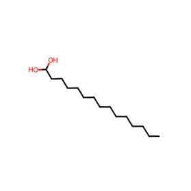 CCCCCCCCCCCCCC[C](O)O